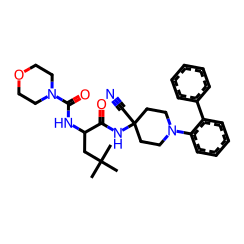 CC(C)(C)CC(NC(=O)N1CCOCC1)C(=O)NC1(C#N)CCN(c2ccccc2-c2ccccc2)CC1